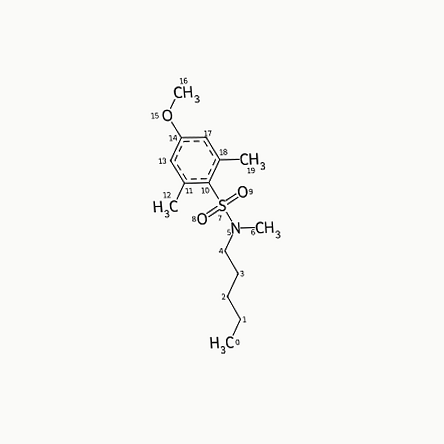 CCCCCN(C)S(=O)(=O)c1c(C)cc(OC)cc1C